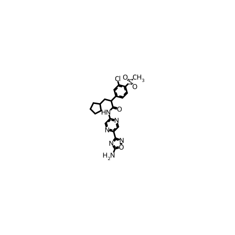 CS(=O)(=O)c1ccc(C(CC2CCCC2)C(=O)Nc2cnc(-c3noc(N)n3)cn2)cc1Cl